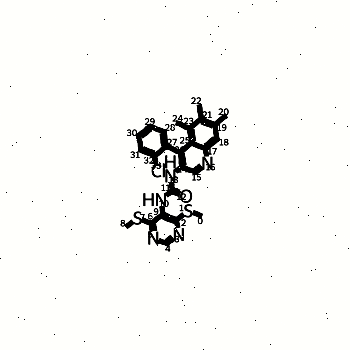 CSc1ncnc(SC)c1NC(=O)Nc1cnc2cc(C)c(C)c(C)c2c1-c1ccccc1Cl